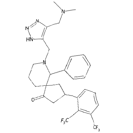 CN(C)Cc1nn[nH]c1CN1CCCC2(CC(c3cccc(C(F)(F)F)c3C(F)(F)F)CC2=O)C1c1ccccc1